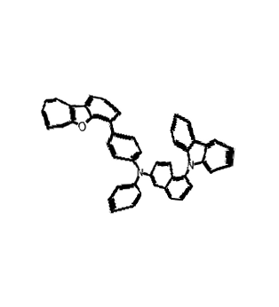 C1=CCc2oc3c(-c4ccc(N(c5ccccc5)c5ccc6c(-n7c8ccccc8c8ccccc87)cccc6c5)cc4)cccc3c2C=C1